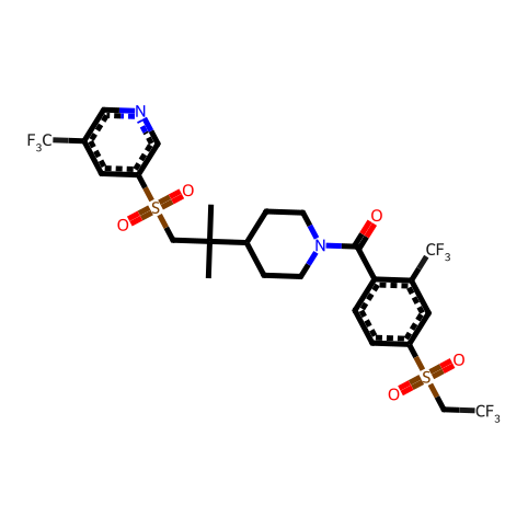 CC(C)(CS(=O)(=O)c1cncc(C(F)(F)F)c1)C1CCN(C(=O)c2ccc(S(=O)(=O)CC(F)(F)F)cc2C(F)(F)F)CC1